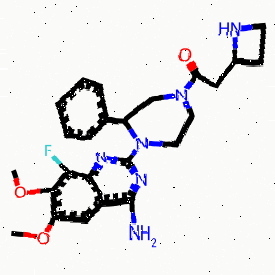 COc1cc2c(N)nc(N3CCN(C(=O)CC4CCN4)CC3c3ccccc3)nc2c(F)c1OC